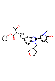 Cc1cc(-c2nc3cc(C[AsH][C@H](C(=O)OC4CCCC4)[C@@H](C)O)ccc3n2CC2CCOCC2)cn(C)c1=O